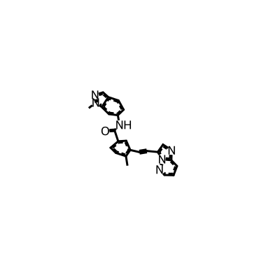 Cc1ccc(C(=O)Nc2ccc3cnn(C)c3c2)cc1C#Cc1cnc2cccnn12